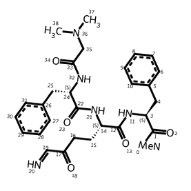 CNC(=O)[C@H](Cc1ccccc1)NC(=O)[C@H](CCC(=O)C=N)NC(=O)[C@H](Cc1ccccc1)NC(=O)CN(C)C